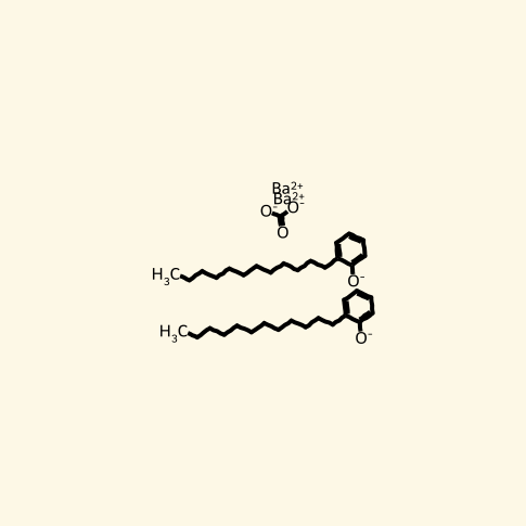 CCCCCCCCCCCCc1ccccc1[O-].CCCCCCCCCCCCc1ccccc1[O-].O=C([O-])[O-].[Ba+2].[Ba+2]